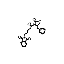 O=C1c2ccccc2C(=O)N1CCCCC(=O)N1C(=O)OC[C@H]1Cc1ccccc1